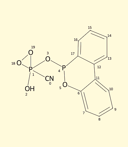 N#CP1(O)(OP2Oc3ccccc3-c3ccccc32)OO1